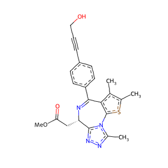 COC(=O)C[C@@H]1N=C(c2ccc(C#CCO)cc2)c2c(sc(C)c2C)-n2c(C)nnc21